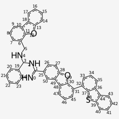 N=C(NC(NCc1cccc2c1oc1ccccc12)c1ccccc1)c1ccc2oc3c(-c4cccc5c4sc4ccccc45)cccc3c2c1